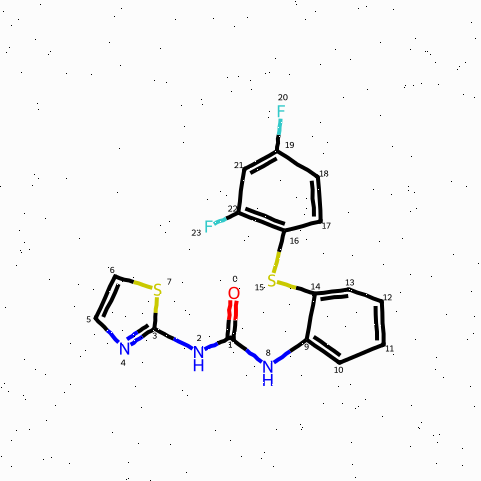 O=C(Nc1nccs1)Nc1ccccc1Sc1ccc(F)cc1F